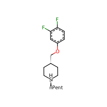 CCCCC[Si@H]1CC[C@H](COc2ccc(F)c(F)c2)CC1